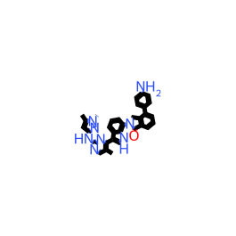 Cc1cnc(Nc2cc(C)n(C)n2)nc1-c1c[nH]c2c(N3Cc4c(cccc4-c4ccc(N)cc4)C3=O)cccc12